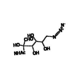 CC(=O)NC(O)(C=O)C(O)C(O)C(O)CN=[N+]=[N-]